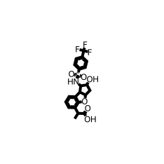 CC(C(=O)O)c1cccc2c1OC1CC(O)C(NS(=O)(=O)c3ccc(C(F)(F)F)cc3)C21